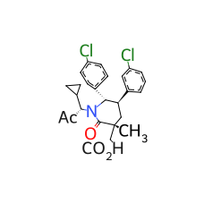 CC(=O)[C@H](C1CC1)N1C(=O)[C@@](C)(CC(=O)O)C[C@H](c2cccc(Cl)c2)[C@H]1c1ccc(Cl)cc1